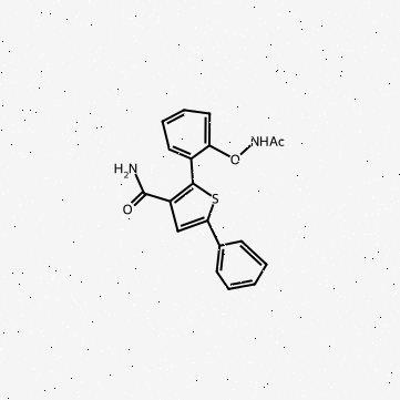 CC(=O)NOc1ccccc1-c1sc(-c2ccccc2)cc1C(N)=O